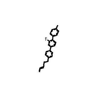 C/C=C/CCc1ccc(-c2ccc(-c3ccc(C)cc3)c(F)c2)cc1